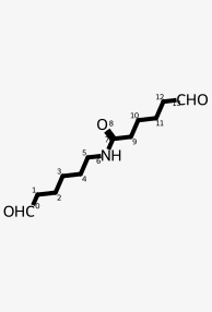 O=CCCCCCNC(=O)CCCCC=O